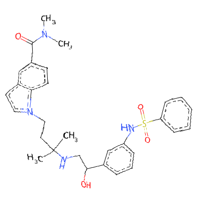 CN(C)C(=O)c1ccc2c(ccn2CCC(C)(C)NCC(O)c2cccc(NS(=O)(=O)c3ccccc3)c2)c1